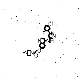 CN1CCN(C(=O)COc2ccc3c(Nc4cnnc(-c5cc(Cl)ccc5F)c4)ccnc3c2)CC1